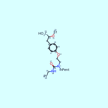 CCCCCN(CCOc1ccc(CC(OCC)C(=O)O)cc1)C(=O)NCC(C)C